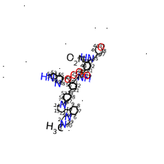 CN1CCN(c2ccccc2C2CCCN2c2ccc(-c3ccc(C(=O)NS(=O)(=O)c4ccc(NCC5CCOCC5)c([N+](=O)[O-])c4)c(Oc4cnc5[nH]ccc5c4)c3)cc2)CC1